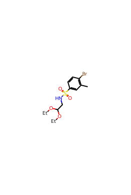 CCOC(CNS(=O)(=O)c1ccc(Br)c(C)c1)OCC